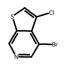 Clc1csc2cncc(Br)c12